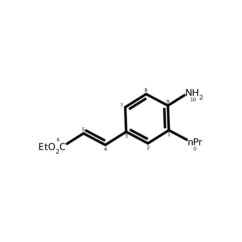 CCCc1cc(/C=C/C(=O)OCC)ccc1N